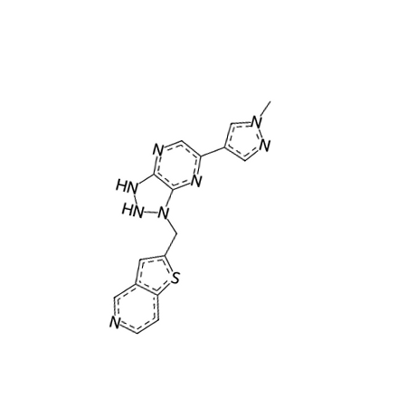 Cn1cc(-c2cnc3c(n2)N(Cc2cc4cnccc4s2)NN3)cn1